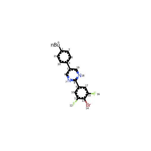 CCCCc1ccc(-c2cnc(-c3cc(F)c(Br)c(F)c3)nc2)cc1